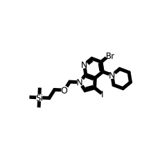 C[Si](C)(C)CCOCn1cc(I)c2c(N3CCCCC3)c(Br)cnc21